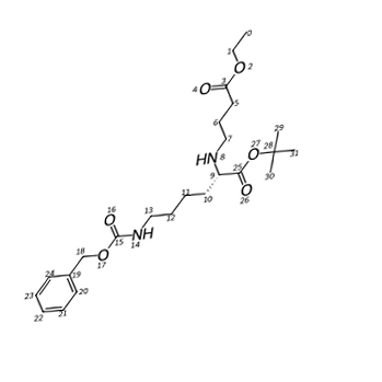 CCOC(=O)CCCN[C@@H](CCCCNC(=O)OCc1ccccc1)C(=O)OC(C)(C)C